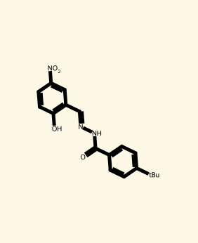 CC(C)(C)c1ccc(C(=O)NN=Cc2cc([N+](=O)[O-])ccc2O)cc1